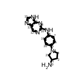 NC1CCN(c2ccc(Nc3ncc4nc[nH]c4n3)cc2)C1